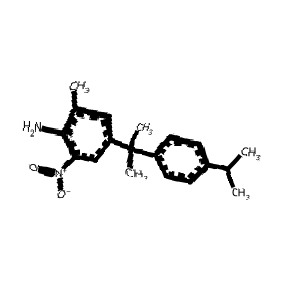 Cc1cc(C(C)(C)c2ccc(C(C)C)cc2)cc([N+](=O)[O-])c1N